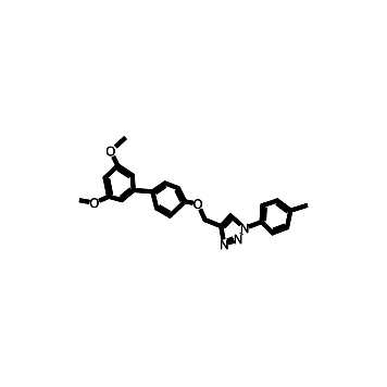 COc1cc(OC)cc(-c2ccc(OCc3cn(-c4ccc(C)cc4)nn3)cc2)c1